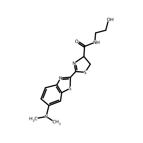 CN(C)c1ccc2nc(C3=NC(C(=O)NCCO)CS3)sc2c1